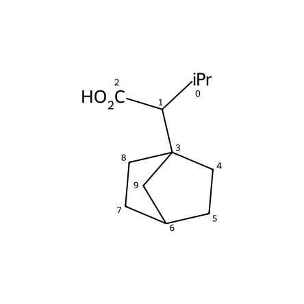 CC(C)C(C(=O)O)C12CCC(CC1)C2